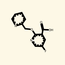 O=C(O)c1cc(F)cnc1OCc1ccccn1